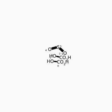 O=C(O)O.O=C(O)O.O=S=O